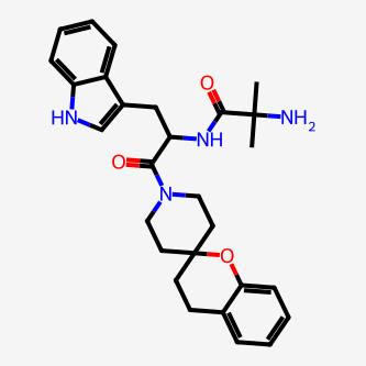 CC(C)(N)C(=O)NC(Cc1c[nH]c2ccccc12)C(=O)N1CCC2(CCc3ccccc3O2)CC1